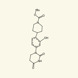 CC(C)(C)OC(=O)N1CCC(c2ccc(N3CCC(=O)NC3=O)cc2O)CC1